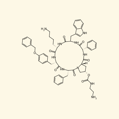 NCCCC[C@@H]1NC(=O)C(Cc2c[nH]c3ccccc23)NC(=O)[C@H](c2ccccc2)NC(=O)[C@@H]2C[C@H](OC(=O)NCCN)CN2C(=O)[C@H](Cc2ccccc2)NC(=O)[C@H](Cc2ccc(OCc3ccccc3)cc2)NC1=O